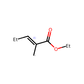 [CH2]/C(=C\CC)C(=O)OCC